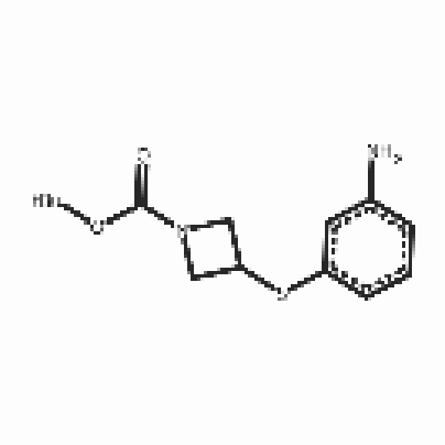 CC(C)(C)OC(=O)N1CC(Sc2cccc(N)c2)C1